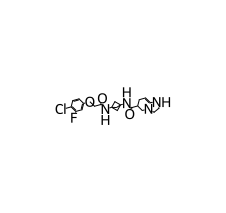 O=C(COc1ccc(Cl)c(F)c1)NC12CC(NC(=O)C3CC=C4NCCN4C3)(C1)C2